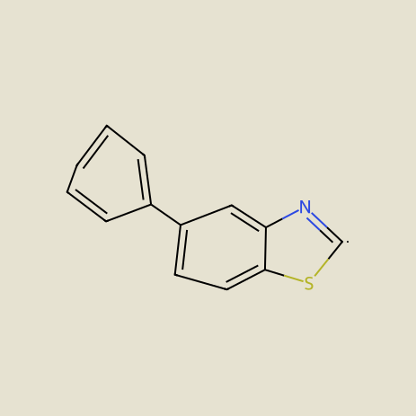 [c]1nc2cc(-c3ccccc3)ccc2s1